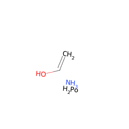 C=CO.N.[PoH2]